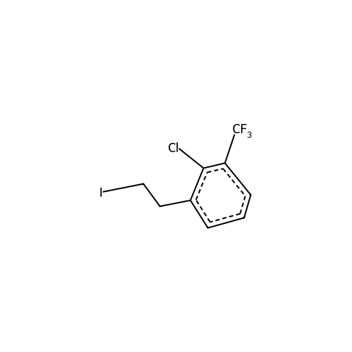 FC(F)(F)c1cccc(CCI)c1Cl